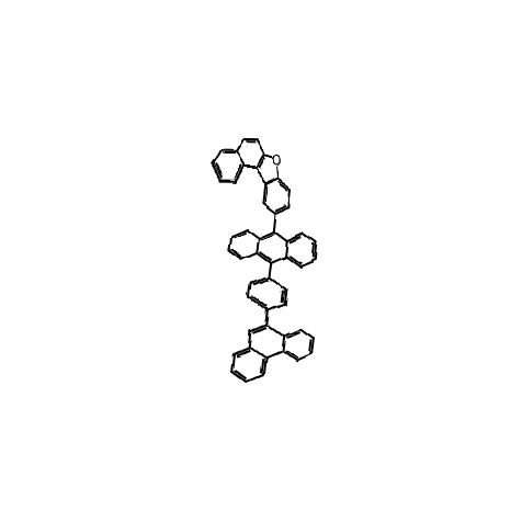 c1ccc2c(c1)cc(-c1ccc(-c3c4ccccc4c(-c4ccc5oc6ccc7ccccc7c6c5c4)c4ccccc34)cc1)c1ccccc12